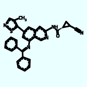 Cc1cnsc1-c1cc(N=C(c2ccccc2)c2ccccc2)c2cnc(NC(=O)[C@@H]3CC3C#N)cc2c1